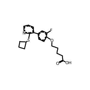 O=C(O)CCCCOc1ccc(-c2cccnc2SC2CCC2)cc1F